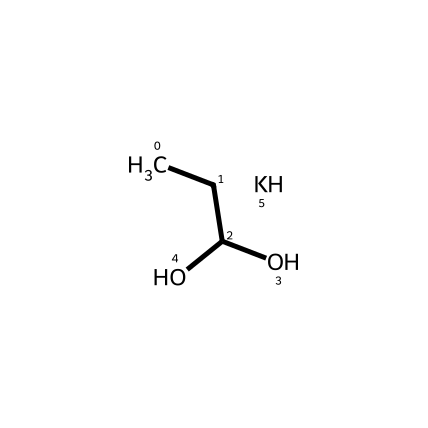 CCC(O)O.[KH]